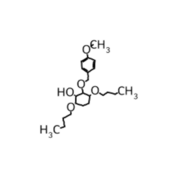 CCCCOC1CCC(OCCCC)[C@@H](O)C1OCc1ccc(OC)cc1